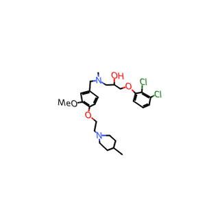 COc1cc(CN(C)CC(O)COc2cccc(Cl)c2Cl)ccc1OCCN1CCC(C)CC1